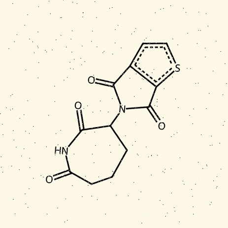 O=C1CCCC(N2C(=O)c3ccsc3C2=O)C(=O)N1